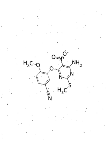 COc1ccc(C#N)cc1Oc1nc(SC)nc(N)c1[N+](=O)[O-]